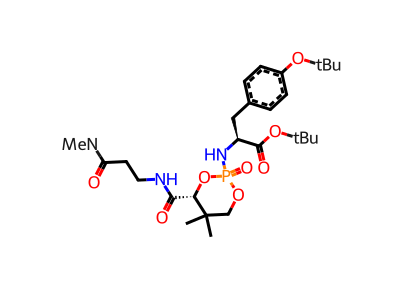 CNC(=O)CCNC(=O)[C@@H]1OP(=O)(N[C@@H](Cc2ccc(OC(C)(C)C)cc2)C(=O)OC(C)(C)C)OCC1(C)C